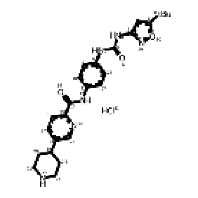 CC(C)(C)c1cc(NC(=O)Nc2ccc(NC(=O)c3ccc(C4CCNCC4)cn3)cc2)no1.Cl